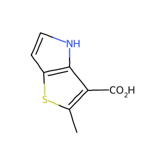 Cc1sc2cc[nH]c2c1C(=O)O